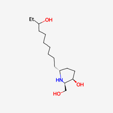 CCC(O)CCCCCCC[C@@H]1CC[C@@H](O)[C@@H](CO)N1